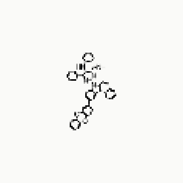 N=Cc1nc(-n2c3ccc(-c4ccc5c(c4)Oc4ccccc4O5)cc3c3c4ccccc4ccc32)nc(-c2ccccc2)c1Nc1ccccc1